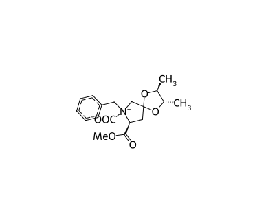 COC(=O)[C@@H]1CC2(C[N+]1(Cc1ccccc1)C(=O)[O-])O[C@@H](C)[C@H](C)O2